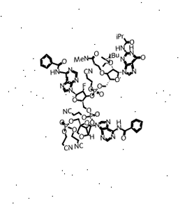 CNC(=O)CCOC1[C@@H](COP(=O)(OCCC#N)OC2[C@@H](COP(=O)(OCCC#N)OC3[C@@H]4OC[C@]3(COP(=O)(OCCC#N)OCCC#N)O[C@H]4n3cnc4c(NC(=O)c5ccccc5)ncnc43)O[C@@H](n3cnc4c(NC(=O)c5ccccc5)ncnc43)[C@H]2F)O[C@@H](n2cnc3c(=O)[nH]c(NC(=O)C(C)C)nc32)[C@H]1O[Si](C)(C)C(C)(C)C